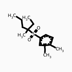 CCCC(C)(CC)S(=O)(=O)c1ccc(C)c(C)c1